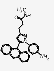 CNC(=O)CCc1cc(-c2c3ccccc3cc3ccccc23)n(-c2ccc(N)cc2)n1